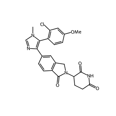 COc1ccc(-c2c(-c3ccc4c(c3)CN(C3CCC(=O)NC3=O)C4=O)ncn2C)c(Cl)c1